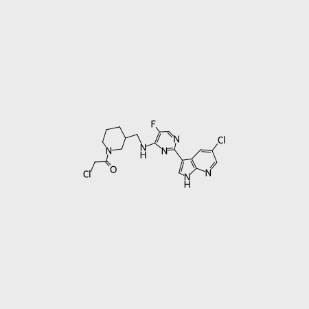 O=C(CCl)N1CCCC(CNc2nc(-c3c[nH]c4ncc(Cl)cc34)ncc2F)C1